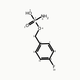 NP(=O)(O)OCc1ccc(F)cc1